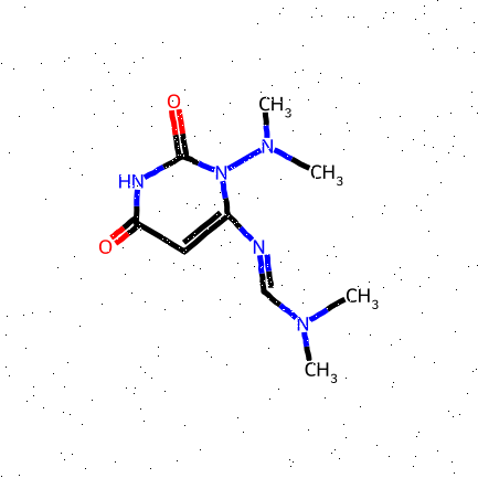 CN(C)/C=N/c1cc(=O)[nH]c(=O)n1N(C)C